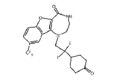 O=C1CCC(C(F)(F)CN2CCNC(=O)c3oc4ccc(C(F)(F)F)cc4c32)CC1